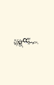 COCCN/C=C1/C=C(B2OC(C)(C)C(C)(C)O2)C=CC1=N